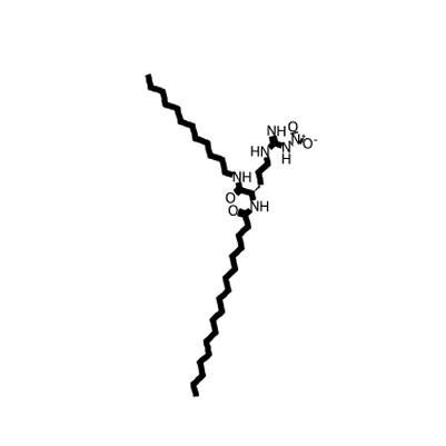 CCCCCCCCCCCCCCCCCC(=O)N[C@@H](CCCNC(=N)N[N+](=O)[O-])C(=O)NCCCCCCCCCCCC